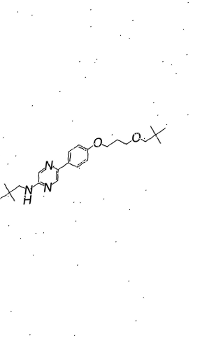 CC(C)(C)CNc1cnc(-c2ccc(OCCCOCC(C)(C)C)cc2)cn1